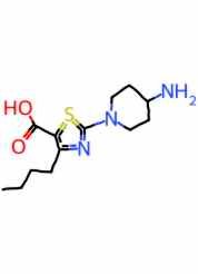 CCCCc1nc(N2CCC(N)CC2)sc1C(=O)O